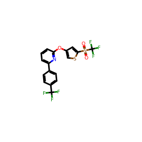 O=S(=O)(c1cc(Oc2cccc(-c3ccc(C(F)(F)F)cc3)n2)cs1)C(F)(F)F